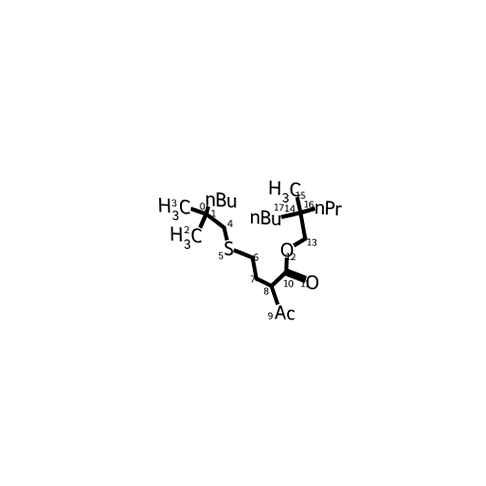 CCCCC(C)(C)CSCCC(C(C)=O)C(=O)OCC(C)(CCC)CCCC